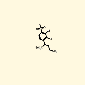 CCOC(=O)C(CC[N+](=O)[O-])c1ccc(S(C)(=O)=O)c(Cl)c1Cl